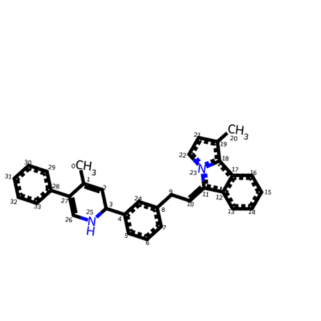 CC1=CC(c2cccc(C/C=c3/c4ccccc4c4c(C)ccn34)c2)NC=C1c1ccccc1